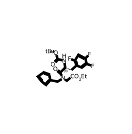 CCOC(=O)CN(Cc1ccccc1)C(=O)[C@@H](Cc1cc(F)c(F)cc1F)NC(=O)OC(C)(C)C